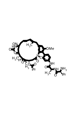 COc1cc2cc(c1-c1ccc(NC(=O)[C@H](C)NC(=O)[C@@H](N)C(C)C)cc1)N(C)C(=O)C[C@H](OC(=O)C(C)C)[C@]1(C)O[C@H]1[C@H](C)[C@@H]1C[C@](N=O)(C/C=C/C=C(\C)C2)NC(=O)O1